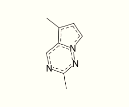 Cc1ncc2c(C)ccn2n1